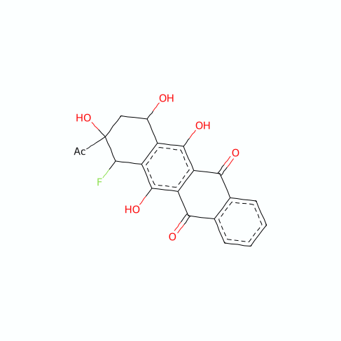 CC(=O)C1(O)CC(O)c2c(O)c3c(c(O)c2C1F)C(=O)c1ccccc1C3=O